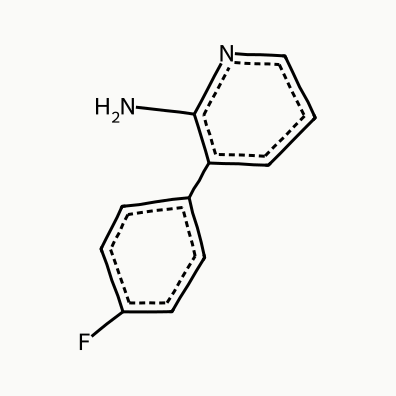 Nc1ncccc1-c1ccc(F)cc1